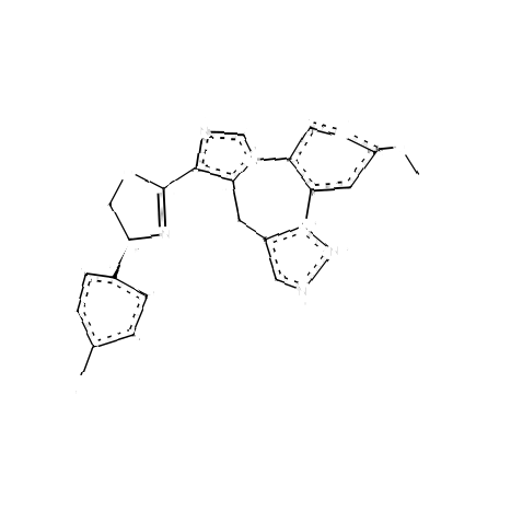 COc1ccc2c(c1)-n1nncc1Cc1c(C3=N[C@@H](c4ccc(Cl)cc4)CO3)ncn1-2